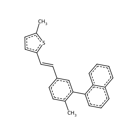 Cc1ccc(/C=C/c2ccc(C)c(-c3cccc4ccccc34)c2)s1